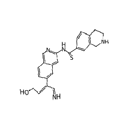 N=C/C(=C/CO)c1ccc2cnc(NC(=S)c3ccc4c(c3)CNCC4)cc2c1